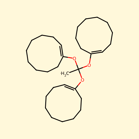 [CH2]C(OC1=CCCCCCCCC1)(OC1=CCCCCCCCC1)OC1=CCCCCCCCC1